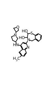 Cc1ccc2nc(N3Cc4ccccc4SC(O)C3O)cc(NC3CCN(C4COC4)C3)c2c1